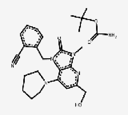 CC(C)(C)OC(N)=O.Cn1c(=O)n(Cc2ccccc2C#N)c2c(N3CCCCC3)cc(CO)nc21